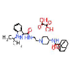 CC(C)n1nc(C(=O)NCCN2CCC(NC(=O)C34CC5CC(C3)C(O)C(C5)C4)CC2)c2ccccc21.O=C(O)C(=O)O